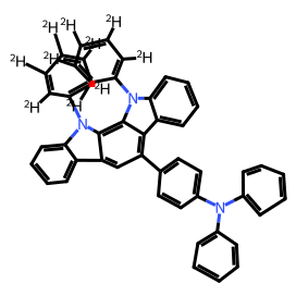 [2H]c1c([2H])c([2H])c(-n2c3ccccc3c3cc(-c4ccc(N(c5ccccc5)c5ccccc5)cc4)c4c5ccccc5n(-c5c([2H])c([2H])c([2H])c([2H])c5[2H])c4c32)c([2H])c1[2H]